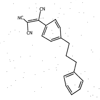 N#CC(C#N)=C(C#N)c1ccc(CCCc2ccccc2)cc1